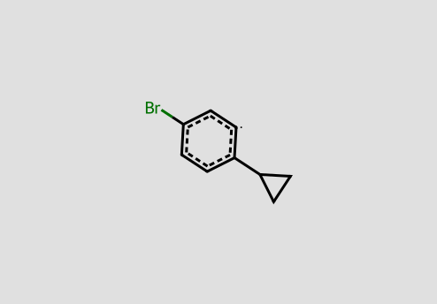 Brc1c[c]c(C2CC2)cc1